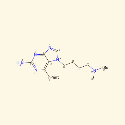 CCCCCc1nc(N)nc2ncn(CCCCN(C)C(C)(C)C)c12